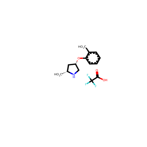 O=C(O)C(F)(F)F.O=C(O)c1ccccc1O[C@@H]1CN[C@H](C(=O)O)C1